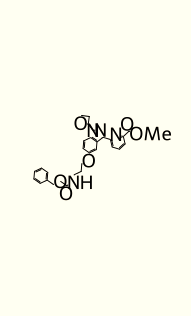 COC(=O)c1cccc(-c2nn(C3CCO3)c3ccc(OCCCNC(=O)OCc4ccccc4)cc23)n1